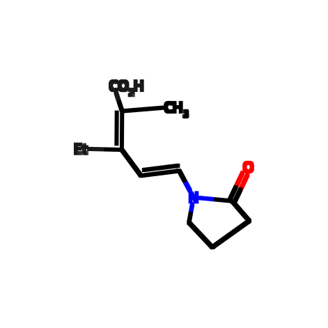 CCC(C=CN1CCCC1=O)=C(C)C(=O)O